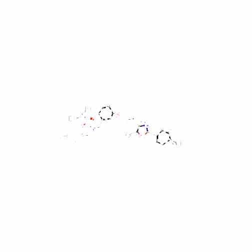 CCN(CC)S(=O)(=O)N(CC(=O)O)Cc1cccc(OCCc2nc(-c3ccc(C)cc3)oc2C)c1